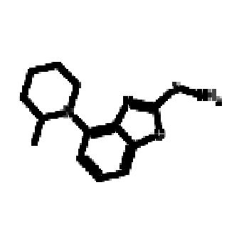 CC1CCCCN1c1cccc2oc(SN)nc12